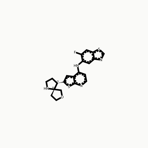 Fc1cc2scnc2cc1Nc1ccnc2sc([C@H]3CCN[C@]34CCOC4)cc12